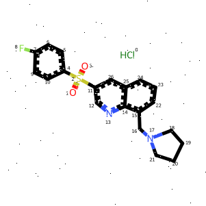 Cl.O=S(=O)(c1ccc(F)cc1)c1cnc2c(CN3CCCC3)cccc2c1